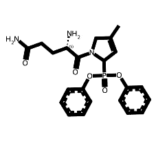 CC1=CC(P(=O)(Oc2ccccc2)Oc2ccccc2)N(C(=O)[C@@H](N)CCC(N)=O)C1